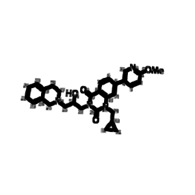 COc1ccc(-c2ccc3c(=O)n(CC(O)CN4CCc5ccccc5C4)c(=O)n(CC4CC4)c3c2)cn1